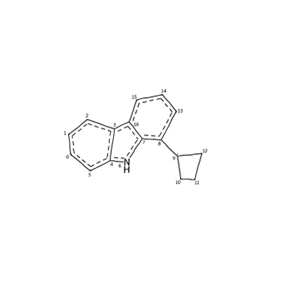 c1ccc2c(c1)[nH]c1c([C]3CCC3)cccc12